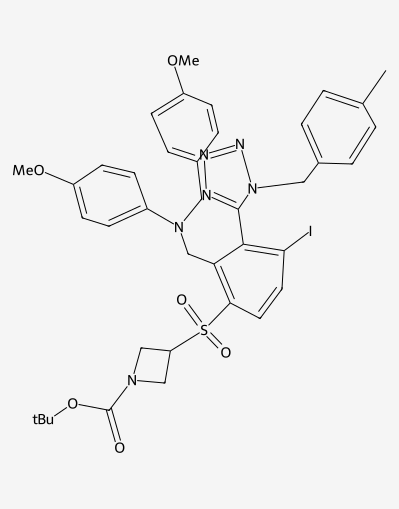 COc1ccc(CN(Cc2c(S(=O)(=O)C3CN(C(=O)OC(C)(C)C)C3)ccc(I)c2-c2nnnn2Cc2ccc(C)cc2)c2ccc(OC)cc2)cc1